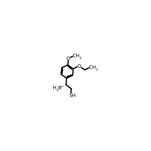 B[C@@H](CS)c1ccc(OC)c(OCC)c1